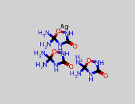 NC1(N)NC(=O)NO1.NC1(N)NC(=O)NO1.NC1(N)NC(=O)NO1.[Ag]